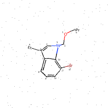 CCCOCn1cc(CC)c2cccc(Br)c21